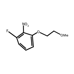 COCCOc1cccc(F)c1[N+](=O)[O-]